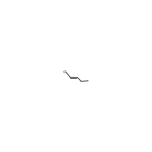 C[CH]C=CCl